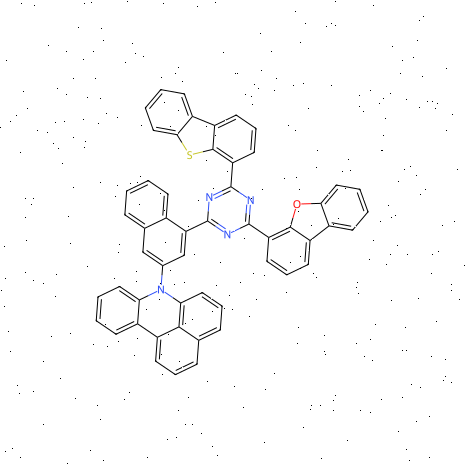 c1ccc2c(c1)-c1cccc3cccc(c13)N2c1cc(-c2nc(-c3cccc4c3oc3ccccc34)nc(-c3cccc4c3sc3ccccc34)n2)c2ccccc2c1